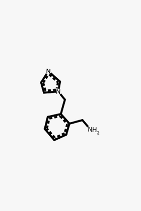 NCc1ccccc1Cn1ccnc1